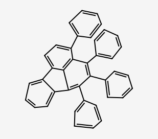 c1ccc(-c2c(-c3ccccc3)c3c4c(ccc(-c5ccccc5)c4c2-c2ccccc2)-c2ccccc2-3)cc1